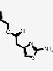 C=CCOC(=O)Cc1csc(N)n1